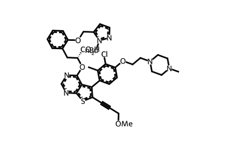 CCCCn1nccc1COc1ccccc1C[C@@H](Oc1ncnc2sc(C#CCOC)c(-c3ccc(OCCN4CCN(C)CC4)c(Cl)c3C)c12)C(=O)O